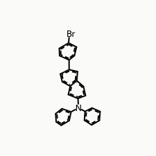 Brc1ccc(-c2ccc3cc(N(c4ccccc4)c4ccccc4)ccc3c2)cc1